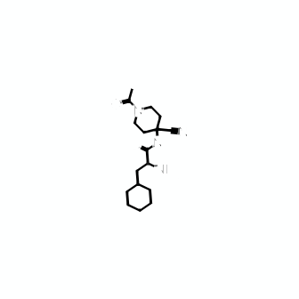 CC(=O)N1CCC(C#N)(NC(=O)C(N)CC2CCCCC2)CC1